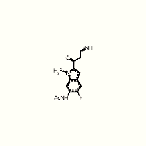 CC(=O)Nc1cc2c(cc1F)cc(C(=O)CC=N)n2P